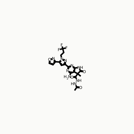 CC(=O)NNC(=O)C1(C)C(=O)Nc2nc(-c3cc(-c4ccon4)n(CCC(F)(F)F)n3)nc(N)c21